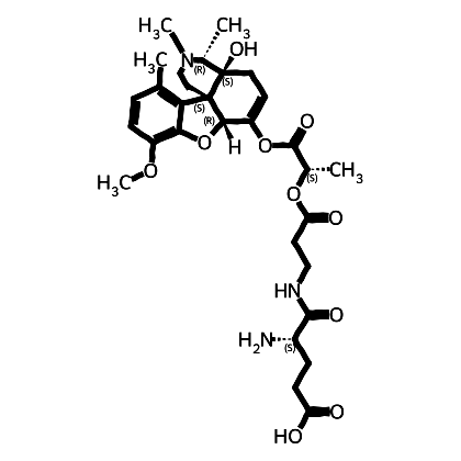 COc1ccc(C)c2c1O[C@H]1C(OC(=O)[C@H](C)OC(=O)CCNC(=O)[C@@H](N)CCC(=O)O)=CC[C@@]3(O)[C@@H](C)N(C)CC[C@]213